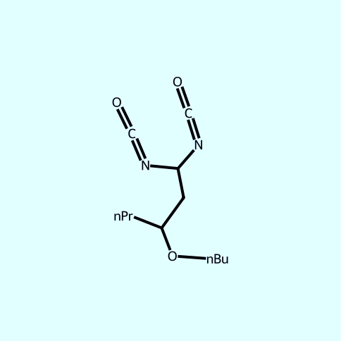 CCCCOC(CCC)CC(N=C=O)N=C=O